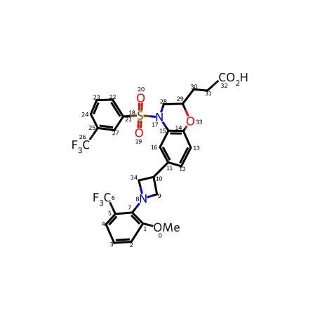 COc1cccc(C(F)(F)F)c1N1CC(c2ccc3c(c2)N(S(=O)(=O)c2cccc(C(F)(F)F)c2)CC(CCC(=O)O)O3)C1